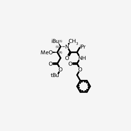 CC[C@H](C)[C@@H]([C@@H](CC(=O)OC(C)(C)C)OC)N(C)C(=O)C(NC(=O)OCc1ccccc1)C(C)C